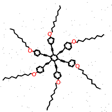 CCCCCCCCCCOc1ccc(C#Cc2c(C#Cc3ccc(OCCCCCCCCCC)cc3)c(C#Cc3ccc(OCCCCCCCCCC)cc3)c(C#Cc3ccc(OCCCCCCCCCC)cc3)c(C#Cc3ccc(OCCCCCCCCCC)cc3)c2C#Cc2ccc(OCCCCCCCCCC)cc2)cc1